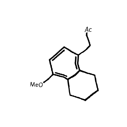 COc1ccc(CC(C)=O)c2c1CCCC2